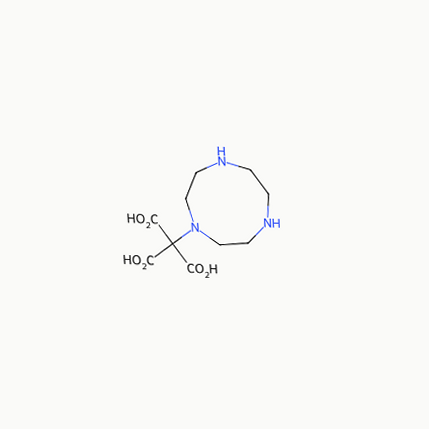 O=C(O)C(C(=O)O)(C(=O)O)N1CCNCCNCC1